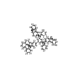 c1ccc(N(c2cc(-c3ccc4c(c3)c3ccc5cccc6c7ccccc7n4c3c56)cc(N(c3ccccc3)c3ccc4sc5ccccc5c4c3)c2)c2ccc3sc4ccccc4c3c2)cc1